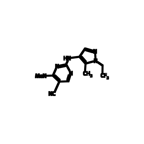 CNc1nc(Nc2cnn(CC(F)(F)F)c2C)ncc1C#N